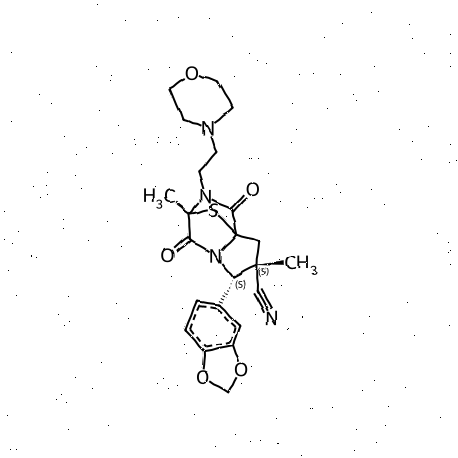 CC12SC3(C[C@](C)(C#N)[C@H](c4ccc5c(c4)OCO5)N3C1=O)C(=O)N2CCN1CCOCC1